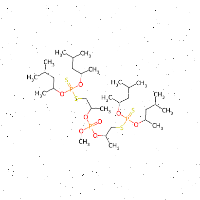 COP(=O)(OC(C)CSP(=S)(OC(C)CC(C)C)OC(C)CC(C)C)OC(C)CSP(=S)(OC(C)CC(C)C)OC(C)CC(C)C